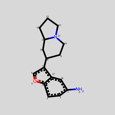 Nc1ccc2occ(C3CCN4CCCC4C3)c2c1